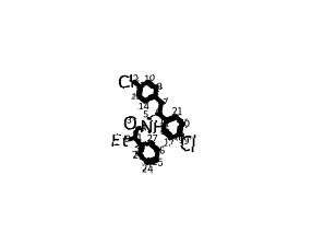 CCC(C(=O)NC[C@H](Cc1ccc(Cl)cc1)c1ccc(Cl)cc1)c1ccccc1